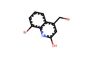 Oc1cc(CBr)c2cccc(Br)c2n1